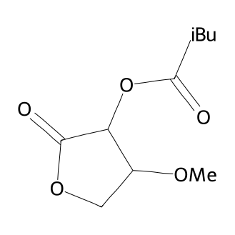 CCC(C)C(=O)OC1C(=O)OCC1OC